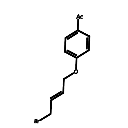 CC(=O)c1ccc(OCC=CCBr)cc1